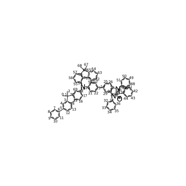 CC1(C)c2cc(-c3ccccc3)ccc2-c2ccc(N(c3ccc(-c4ccc5c(c4)N(c4ccccc4)P(=O)(c4ccccc4)N5c4ccccc4)cc3)c3cccc4c3-c3ccccc3C4(C)C)cc21